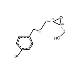 OC[C@H]1O[C@H]1COCc1ccc(Br)cc1